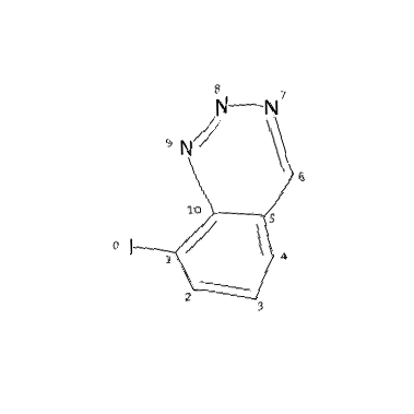 Ic1cccc2cnnnc12